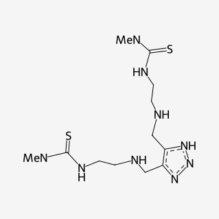 CNC(=S)NCCNCc1nn[nH]c1CNCCNC(=S)NC